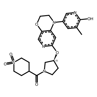 Cc1cc(N2CCOc3cnc(O[C@H]4CCN(C(=O)C5CCS(=O)(=O)CC5)C4)cc32)cnc1O